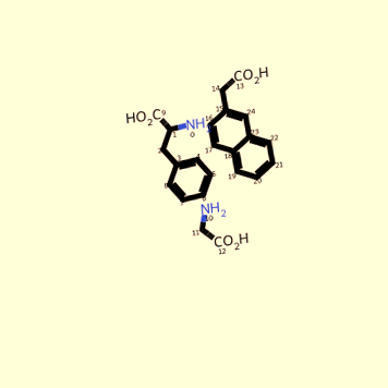 NC(Cc1ccccc1)C(=O)O.NCC(=O)O.O=C(O)Cc1ccc2ccccc2c1